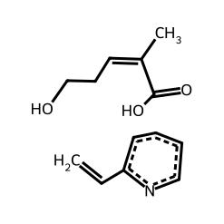 C=Cc1ccccn1.CC(=CCCO)C(=O)O